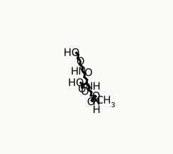 CNS(=O)(=O)CCC(=O)NC(CCC(=O)NCCOCCO)C(=O)O